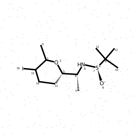 CC1O[C@H]([C@@H](C)N[S@+]([O-])C(C)(C)C)CCC1I